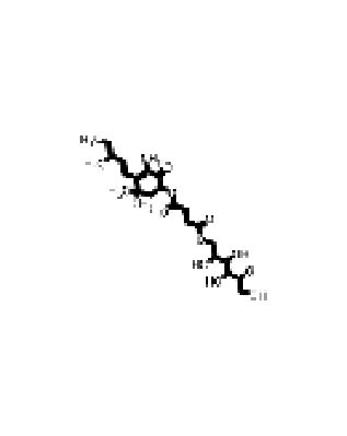 C/C=C(C)/C=C/C1=C(C)C(=O)C(OC(=O)CCC(=O)OCC(O)C(O)C(O)C(O)CO)CC1(C)C